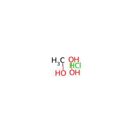 CO.Cl.OO